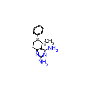 C[C@@H]1c2c(N)nc(N)nc2CC[C@H]1c1ccccc1